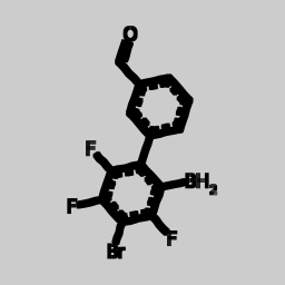 Bc1c(F)c(Br)c(F)c(F)c1-c1cccc(C=O)c1